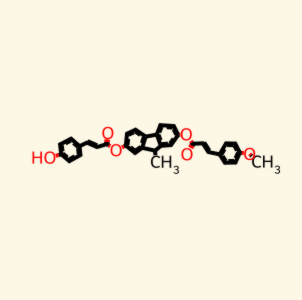 COc1ccc(C=CC(=O)Oc2ccc3c(c2)C(C)c2cc(OC(=O)C=Cc4ccc(O)cc4)ccc2-3)cc1